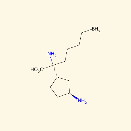 BCCCCC(N)(C(=O)O)[C@H]1CC[C@H](N)C1